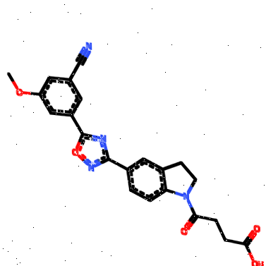 COc1cc(C#N)cc(-c2nc(-c3ccc4c(c3)CCN4C(=O)CCC(=O)O)no2)c1